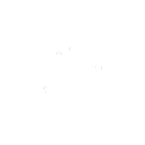 C=C(CC(CCC)CC(C)CC)C(=O)O